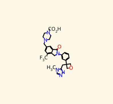 Cn1cnnc1CC1(c2cccc(N3Cc4c(cc(CN5CCN(C(=O)O)CC5)cc4C(F)(F)F)C3=O)c2)COC1